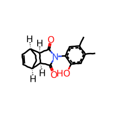 Cc1cc(O)c(N2C(=O)[C@@H]3[C@H](C2=O)[C@@H]2C=C[C@H]3CC2)cc1C